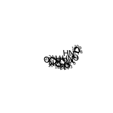 CC(NC(=O)Nc1ccccc1)[C@H]1CC[C@H]2[C@@H]3CCC4N(C)C(=O)C=C[C@]4(C)[C@H]3CC[C@]12C